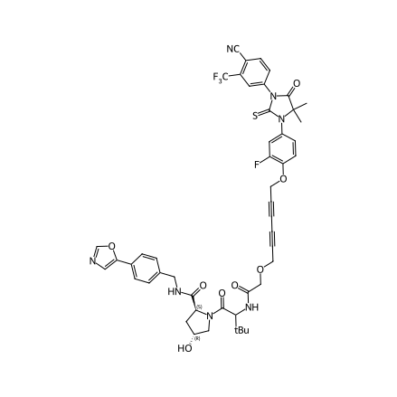 CC(C)(C)C(NC(=O)COCC#CC#CCOc1ccc(N2C(=S)N(c3ccc(C#N)c(C(F)(F)F)c3)C(=O)C2(C)C)cc1F)C(=O)N1C[C@H](O)C[C@H]1C(=O)NCc1ccc(-c2cnco2)cc1